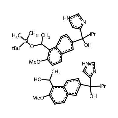 COc1ccc2cc(C(O)(c3c[nH]cn3)C(C)C)ccc2c1C(C)O.COc1ccc2cc(C(O)(c3c[nH]cn3)C(C)C)ccc2c1C(C)O[Si](C)(C)C(C)(C)C